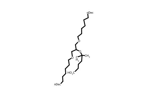 CCCCCCCCCCCCCCCCOCC(COCCCCCCCCCCCCCCCC)OC(C)(C)CCCC(=O)O